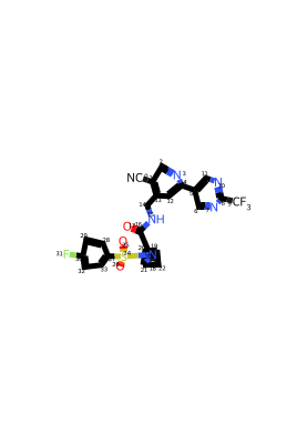 N#Cc1cnc(-c2cnc(C(F)(F)F)nc2)cc1CNC(=O)C1C2CC(C2)N1S(=O)(=O)c1ccc(F)cc1